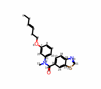 CCC=CCCOc1cccc(N(C)C(=O)c2ccc3ncsc3c2)c1